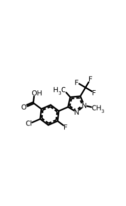 Cc1c(-c2cc(C(=O)O)c(Cl)cc2F)nn(C)c1C(F)(F)F